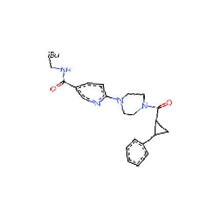 CCC(C)CNC(=O)c1ccc(N2CCN(C(=O)C3CC3c3ccccc3)CC2)nc1